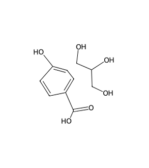 O=C(O)c1ccc(O)cc1.OCC(O)CO